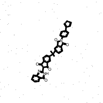 CC(C)(c1ccc2c(c1)C(=O)C(c1nc3ccccc3c(=O)[nH]1)C2=O)c1ccc2c(c1)C(=O)N(c1ccc(C3=CCC=C3)cc1)C2=O